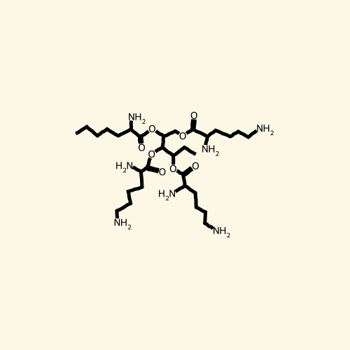 CCCCCC(N)C(=O)OC(COC(=O)C(N)CCCCN)C(OC(=O)C(N)CCCCN)C(CC)OC(=O)C(N)CCCCN